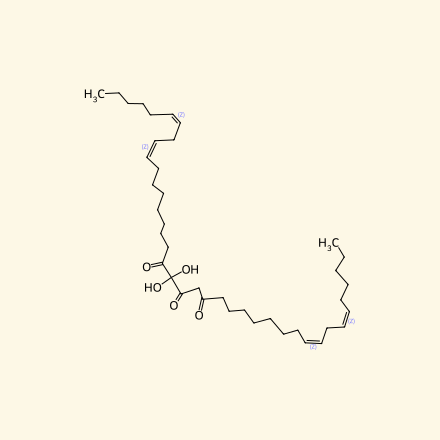 CCCCC/C=C\C/C=C\CCCCCCCC(=O)CC(=O)C(O)(O)C(=O)CCCCCCC/C=C\C/C=C\CCCCC